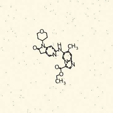 CCOC(=O)c1cnc2cc(C)c(Nc3cc4c(cn3)CC(=O)N4C3CCOCC3)cn12